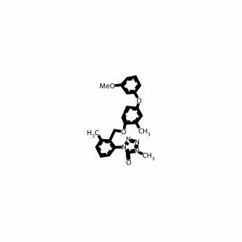 COc1cccc(Oc2ccc(OCc3c(C)cccc3-n3nnn(C)c3=O)c(C)c2)c1